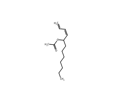 C=C/C=C\C(CCCCCCC)OC(C)=O